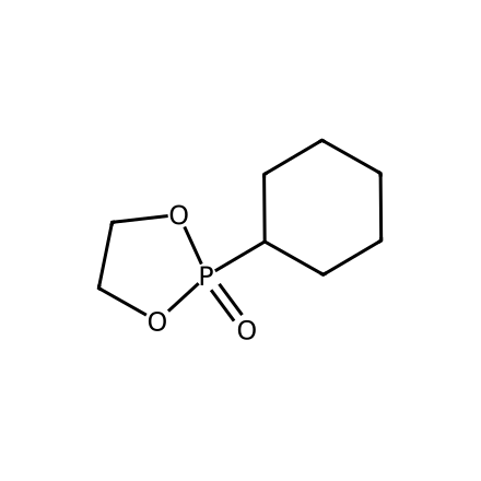 O=P1(C2CCCCC2)OCCO1